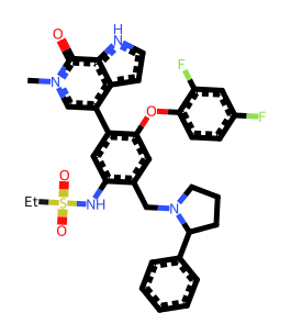 CCS(=O)(=O)Nc1cc(-c2cn(C)c(=O)c3[nH]ccc23)c(Oc2ccc(F)cc2F)cc1CN1CCCC1c1ccccc1